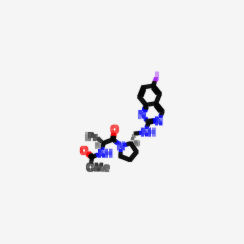 COC(=O)N[C@H](C(=O)N1CCC[C@H]1CNc1ncc2cc(I)ccc2n1)C(C)C